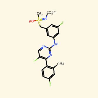 CCOC(=O)N=[SH](C)(O)Cc1cc(F)cc(Nc2ncc(F)c(-c3ccc(F)cc3OC)n2)c1